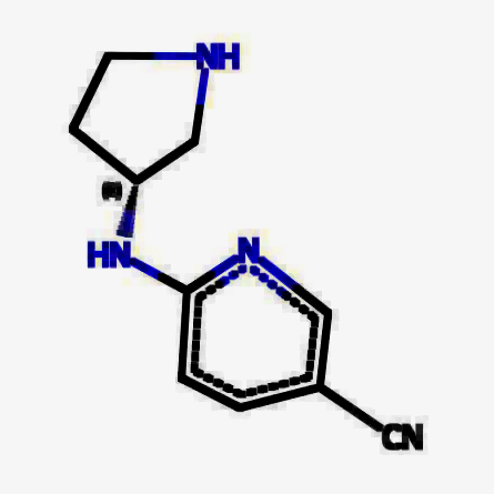 N#Cc1ccc(N[C@@H]2CCNC2)nc1